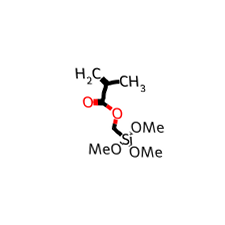 C=C(C)C(=O)OC[Si](OC)(OC)OC